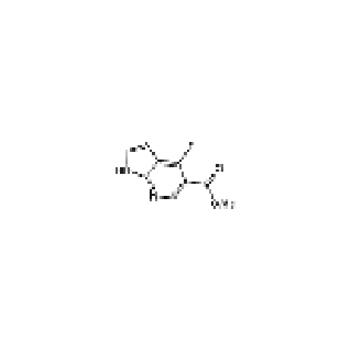 COC(=O)c1cnc2[nH]ccc2c1F